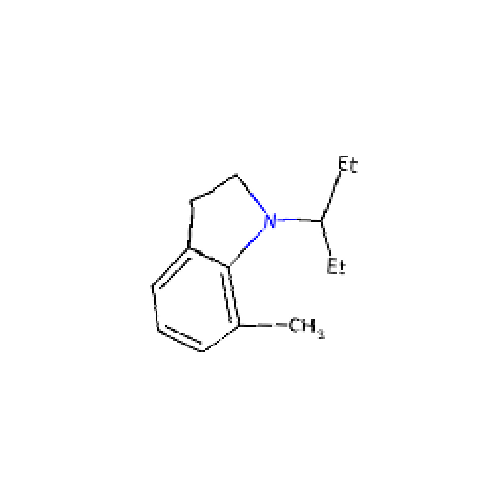 CCC(CC)N1CCc2cccc(C)c21